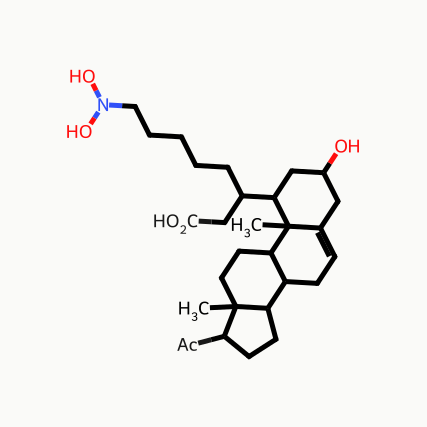 CC(=O)C1CCC2C3CC=C4CC(O)CC(C(CCCCCN(O)O)CC(=O)O)C4(C)C3CCC12C